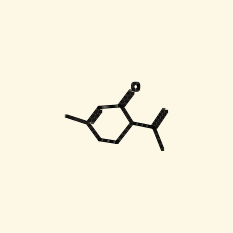 C=C(C)C1CCC(C)=CC1=O